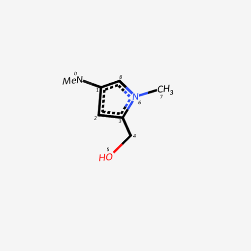 CNc1cc(CO)n(C)c1